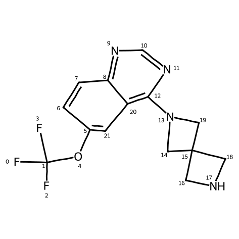 FC(F)(F)Oc1ccc2ncnc(N3CC4(CNC4)C3)c2c1